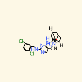 N#Cc1cnc(NCc2cc(Cl)ccc2Cl)nc1NCC12CC3C[C@H](C1)[C@H](N)[C@@H](C3)C2